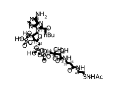 CCCCC(=O)c1nc2c(N)ncnc2n1[C@@H]1O[C@H](COP(=O)(O)OP(=O)(O)OCC(C)(C)[C@@H](O)C(=O)NCCC(=O)NCCSNC(C)=O)[C@@H](OP(=O)(O)O)[C@H]1O